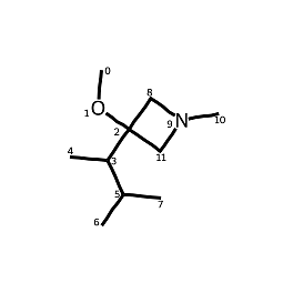 COC1(C(C)C(C)C)CN(C)C1